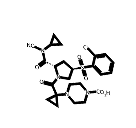 N#CN(C(=O)[C@@H]1C[C@@H](S(=O)(=O)c2ccccc2Cl)CN1C(=O)C1(N2CCN(C(=O)O)CC2)CC1)C1CC1